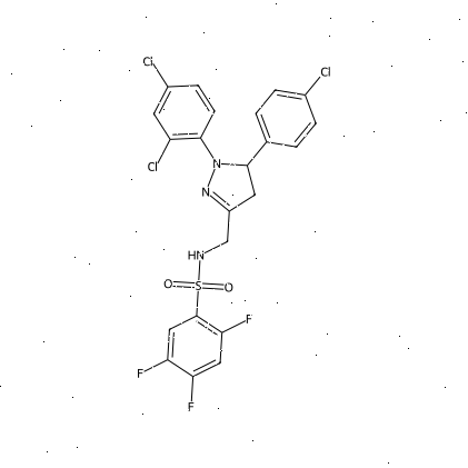 O=S(=O)(NCC1=NN(c2ccc(Cl)cc2Cl)C(c2ccc(Cl)cc2)C1)c1cc(F)c(F)cc1F